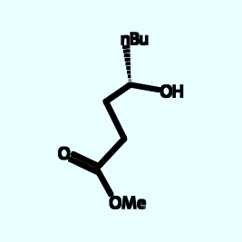 CCCC[C@H](O)CCC(=O)OC